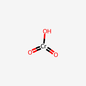 [O]=[Cr](=[O])[OH]